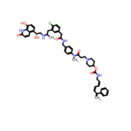 C=C(/C=C\C=C/CNC(=O)OC1CCN(CCC(=O)N(C)c2ccc(CNC(=O)Cc3ccc(F)c(CC(C)NC[C@H](O)c4ccc(O)c5[nH]c(=O)ccc45)c3)cc2)CC1)c1ccccc1